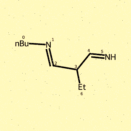 CCCCN=CC(C=N)CC